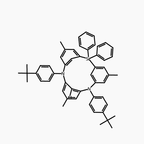 Cc1cc2cc(c1)[Si](c1ccccc1)(c1ccccc1)c1cc(C)cc(c1)N(c1ccc(C(C)(C)C)cc1)c1cc(C)cc(c1Cl)N2c1ccc(C(C)(C)C)cc1